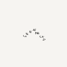 [Al].[Al].[Cu].[Cu].[Ni].[Ni].[Zn]